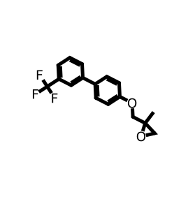 CC1(COc2ccc(-c3cccc(C(F)(F)F)c3)cc2)CO1